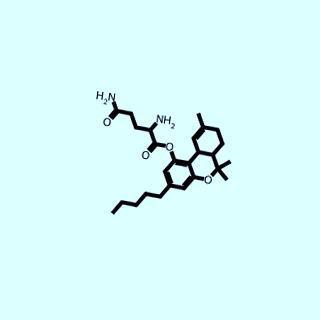 CCCCCc1cc(OC(=O)C(N)CCC(N)=O)c2c(c1)OC(C)(C)C1CCC(C)=CC21